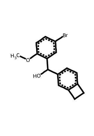 COc1ccc(Br)cc1C(O)c1ccc2c(c1)CC2